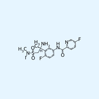 CN(I)S(=O)(=O)C[C@](C)(N)c1cc(NC(=O)c2ccc(F)cn2)ccc1F